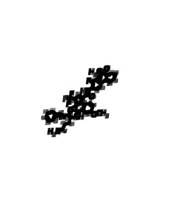 COc1ccc(-n2nc(C(F)(F)F)cc2C(=O)Nc2ccc(-c3ccccc3S(C)(=O)=O)cc2F)c(C(=O)N[C@@H](CCCN)C(=O)NCc2ccccc2)c1